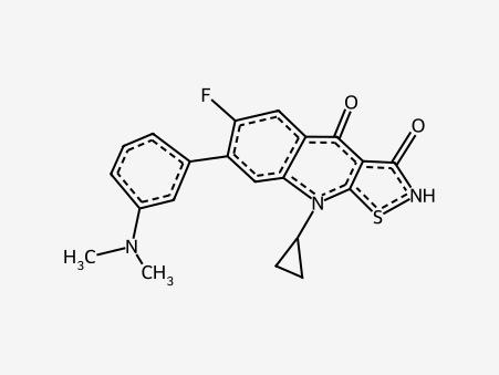 CN(C)c1cccc(-c2cc3c(cc2F)c(=O)c2c(=O)[nH]sc2n3C2CC2)c1